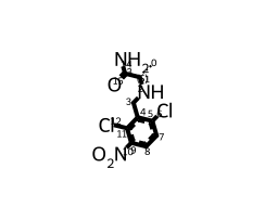 C[C@H](NCc1c(Cl)ccc([N+](=O)[O-])c1Cl)C(N)=O